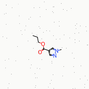 CCCOC(=O)c1cnn(C)c1